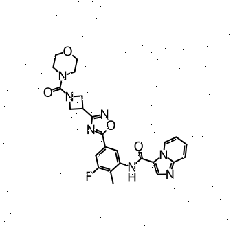 Cc1c(F)cc(-c2nc(C3CN(C(=O)N4CCOCC4)C3)no2)cc1NC(=O)c1cnc2ccccn12